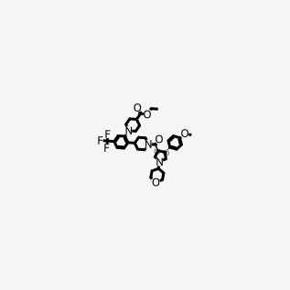 CCOC(=O)C1CCN(c2cc(C(F)(F)F)ccc2C2CCN(C(=O)[C@@H]3CN(C4CCOCC4)C[C@H]3c3ccc(OC)cc3)CC2)CC1